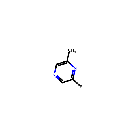 CCc1cncc(C)n1